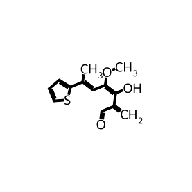 C=C(C=O)/C(O)=C(\C=C(/C)c1cccs1)OC